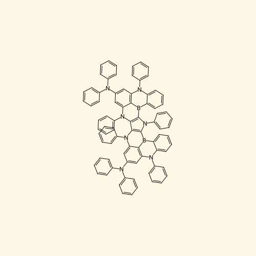 c1ccc(N(c2ccccc2)c2cc3c4c(c2)N(c2ccccc2)c2c5c(n(-c6ccccc6)c2B4c2ccccc2N3c2ccccc2)B2c3ccccc3N(c3ccccc3)c3cc(N(c4ccccc4)c4ccccc4)cc(c32)N5c2ccccc2)cc1